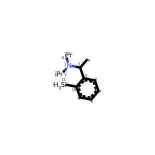 CC(C)N(C(C)C)C(C)c1ccccc1[SiH3]